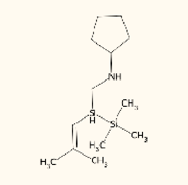 CC(C)=C[SiH](CNC1CCCC1)[Si](C)(C)C